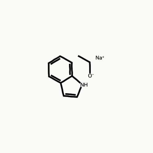 CC[O-].[Na+].c1ccc2[nH]ccc2c1